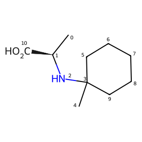 C[C@@H](NC1(C)CCCCC1)C(=O)O